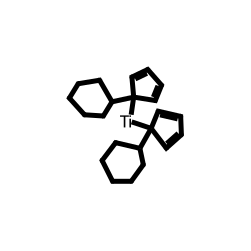 C1=C[C]([Ti][C]2(C3CCCCC3)C=CC=C2)(C2CCCCC2)C=C1